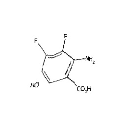 Cl.Nc1c(C(=O)O)ccc(F)c1F